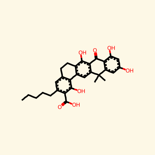 CCCCCc1cc2c(c(O)c1C(=O)O)-c1cc3c(c(O)c1CC2)C(=O)c1c(O)cc(O)cc1C3(C)C